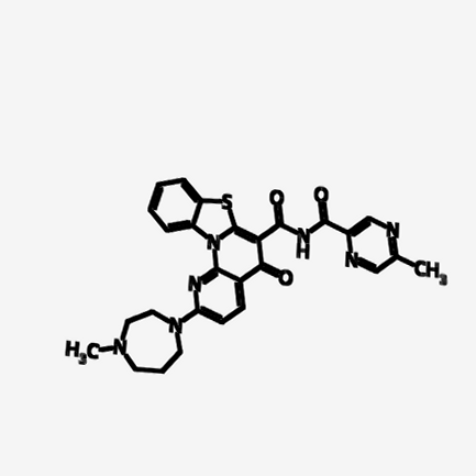 Cc1cnc(C(=O)NC(=O)c2c(=O)c3ccc(N4CCCN(C)CC4)nc3n3c2sc2ccccc23)cn1